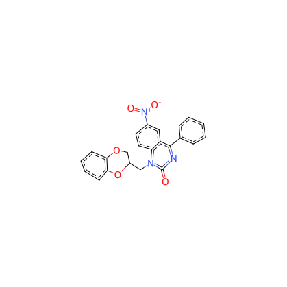 O=c1nc(-c2ccccc2)c2cc([N+](=O)[O-])ccc2n1CC1COc2ccccc2O1